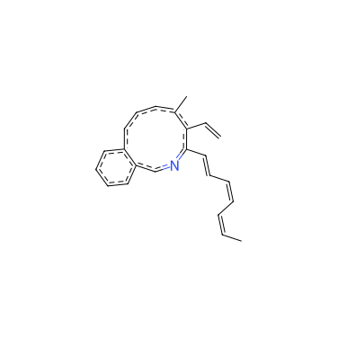 C=Cc1c(C)cccc2ccccc2cnc1/C=C/C=C\C=C/C